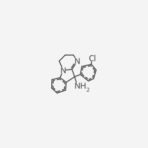 NC1(c2cccc(Cl)c2)C2=NCCCN2c2ccccc21